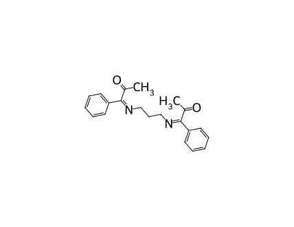 CC(=O)C(=NCCCN=C(C(C)=O)c1ccccc1)c1ccccc1